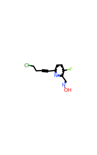 ON=Cc1nc(C#CCCCl)ccc1F